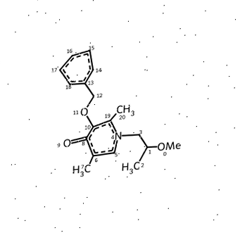 COC(C)Cn1cc(C)c(=O)c(OCc2ccccc2)c1C